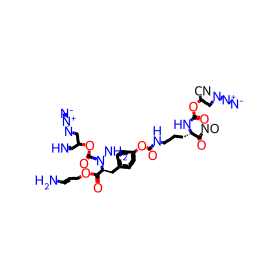 N#CC(CN=[N+]=[N-])OC(=O)N[C@@H](CCCNC(=O)Oc1ccc(C[C@@H](C(=O)OCC=CN)N(N)C(=O)OC(C=N)CN=[N+]=[N-])cc1)C(=O)N=O